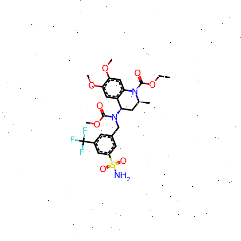 CCOC(=O)N1c2cc(OC)c(OC)cc2[C@H](N(Cc2cc(C(F)(F)F)cc(S(N)(=O)=O)c2)C(=O)OC)C[C@@H]1C